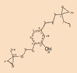 CCC1(CCCc2ccc(CCCC3(I)CC3)c(O)c2)CC1